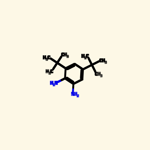 CC(C)(C)c1cc(N)c(N)c(C(C)(C)C)c1